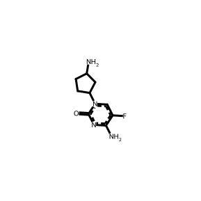 Nc1nc(=O)n(C2CCC(N)C2)cc1F